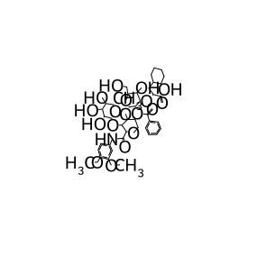 COc1ccc(NC(=O)C2OCCC(OC3OC(CO)C(O)C(OC(CC4CCCCC4)C(=O)O)C3OC(=O)c3ccccc3)C2OC2OC(C)C(O)C(O)C2O)cc1OC